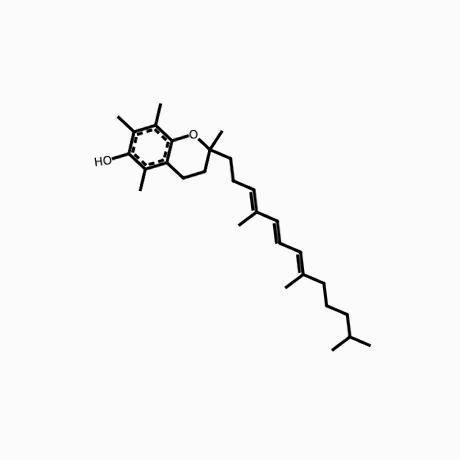 CC(/C=C/C=C(\C)CCCC(C)C)=C\CCC1(C)CCc2c(C)c(O)c(C)c(C)c2O1